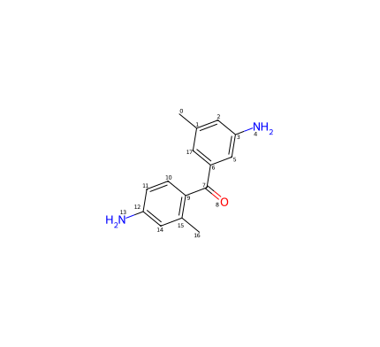 Cc1cc(N)cc(C(=O)c2ccc(N)cc2C)c1